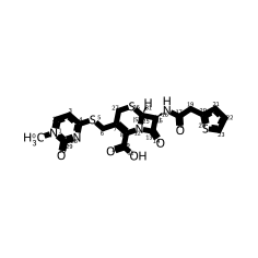 Cn1ccc(SCC2=C(C(=O)O)N3C(=O)[C@@H](NC(=O)Cc4cccs4)[C@@H]3SC2)nc1=O